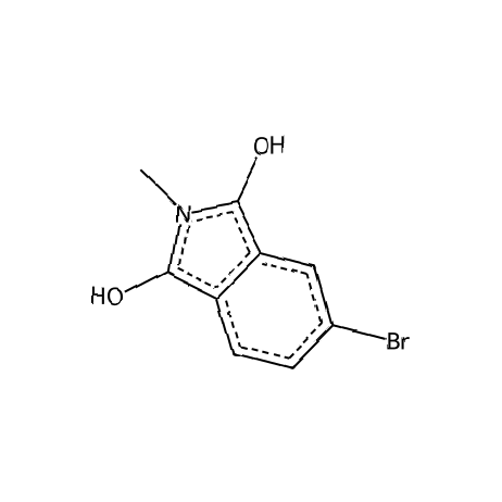 Cn1c(O)c2ccc(Br)cc2c1O